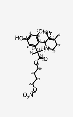 CC1=C(C(C)C)C(c2c(O)cc(O)cc2C(C)(C)C(=O)OCCCCO[N+](=O)[O-])NCC1